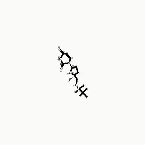 CC(C)(C)[Si](C)(C)OC[C@]1(F)CC[C@H](n2ccc(=O)[nH]c2=O)O1